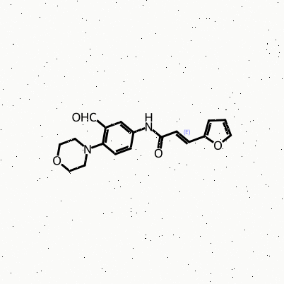 O=Cc1cc(NC(=O)/C=C/c2ccco2)ccc1N1CCOCC1